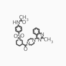 CC(=O)Nc1ccc(S(=O)(=O)N2CCCC(C(=O)N3CCN(c4nc(C)nc5ccccc45)CC3)C2)cc1